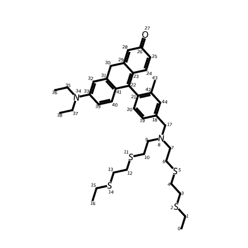 CCSCCSCCN(CCSCCSCC)Cc1ccc(C2=C3C=CC(=O)C=C3Cc3cc(N(CC)CC)ccc32)c(C)c1